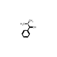 [CH]=C(c1ccccc1)N(C)C